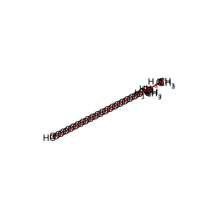 CC(C)(C)OC(=O)CCCCCCCCCCCCC(=O)N[C@@H](CCC(=O)NCCOCCOCCOCCOCCOCCOCCOCCOCCOCCOCCOCCOCCOCCOCCOCCOCCOCCOCCOCCOCCOCCOCCOCCOCCOCCOCCOCCOCCOCCOCCOCCOCCOCCOCCOCCOCCC(=O)O)C(=O)OC(C)(C)C